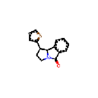 O=C1c2ccccc2C2C(c3cccs3)CCN12